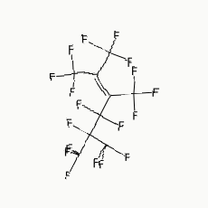 FC(F)(F)C(=C(C(F)(F)F)C(F)(F)C(F)(C(F)(F)F)C(F)(F)F)C(F)(F)F